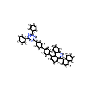 c1ccc(-c2nc(-c3ccccc3)nc(-c3ccc(-c4ccc(-c5cccc6c(-c7cccc8ccccc78)nc7ccccc7c56)cc4)cc3)n2)cc1